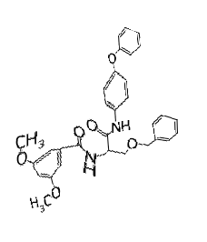 COc1cc(OC)cc(C(=O)NC(COCc2ccccc2)C(=O)Nc2ccc(Oc3ccccc3)cc2)c1